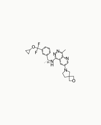 Cc1nnc(N[C@H](C)c2cccc(C(F)(F)OC3CC3)c2)c2cc(N3CCC4(COC4)C3)cnc12